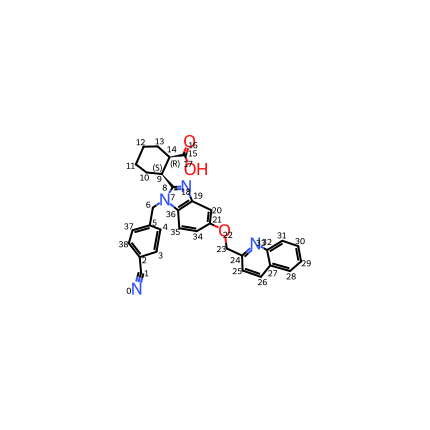 N#Cc1ccc(Cn2c([C@H]3CCCC[C@H]3C(=O)O)nc3cc(OCc4ccc5ccccc5n4)ccc32)cc1